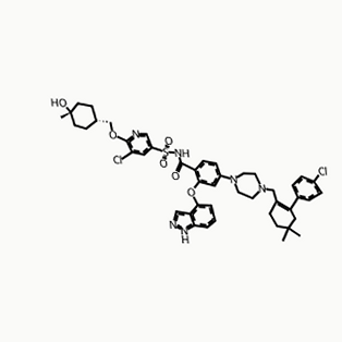 CC1(C)CCC(CN2CCN(c3ccc(C(=O)NS(=O)(=O)c4cnc(OC[C@H]5CC[C@@](C)(O)CC5)c(Cl)c4)c(Oc4cccc5[nH]ncc45)c3)CC2)=C(c2ccc(Cl)cc2)C1